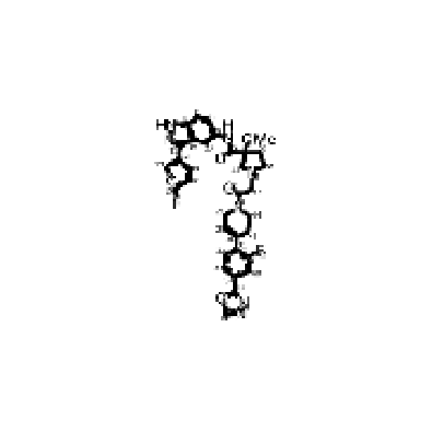 CO[C@@]1(C(=O)Nc2ccc3[nH]nc(-c4ccc(F)cc4)c3c2)CCN(CC(=O)N2CC=C(c3ccc(-c4nnco4)cc3F)CC2)C1